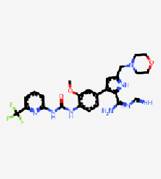 COc1cc(-c2cc(CN3CCOCC3)[nH]c2/C(N)=N\C=N)ccc1NC(=O)Nc1cccc(C(F)(F)F)n1